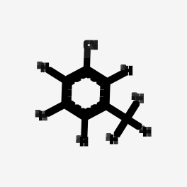 [2H]c1c([2H])c(C#N)c([2H])c(C([2H])([2H])[2H])c1[2H]